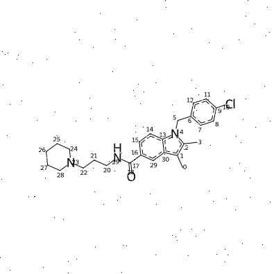 Cc1c(C)n(Cc2ccc(Cl)cc2)c2ccc(C(=O)NCCCN3CCCCC3)cc12